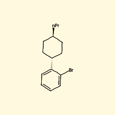 CCC[C@H]1CC[C@H](c2ccccc2Br)CC1